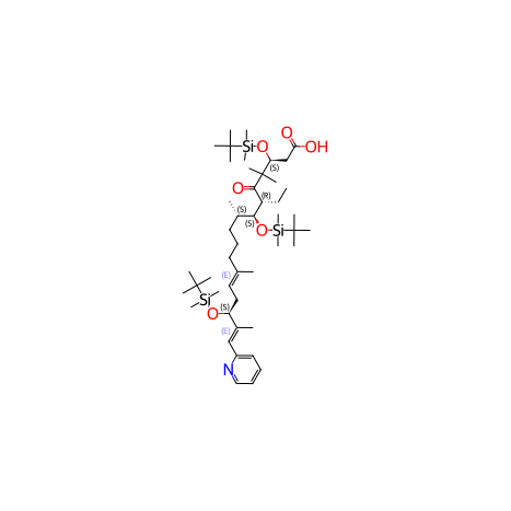 CC[C@@H](C(=O)C(C)(C)[C@H](CC(=O)O)O[Si](C)(C)C(C)(C)C)[C@@H](O[Si](C)(C)C(C)(C)C)[C@@H](C)CCC/C(C)=C/C[C@H](O[Si](C)(C)C(C)(C)C)/C(C)=C/c1ccccn1